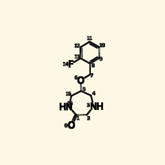 O=C1CNCC(OCc2ccccc2F)CN1